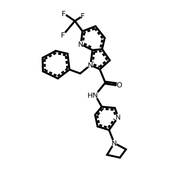 O=C(Nc1ccc(N2CCC2)nc1)c1cc2ccc(C(F)(F)F)nc2n1Cc1ccccc1